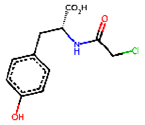 O=C(CCl)N[C@H](Cc1ccc(O)cc1)C(=O)O